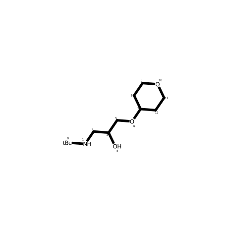 CC(C)(C)NCC(O)COC1CCOCC1